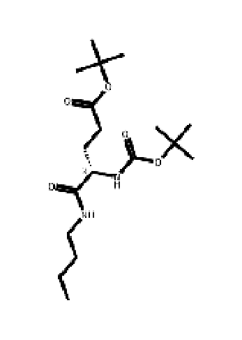 CCCCNC(=O)[C@H](CCC(=O)OC(C)(C)C)NC(=O)OC(C)(C)C